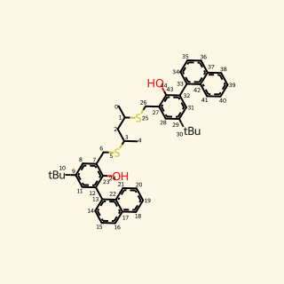 CC(CC(C)SCc1cc(C(C)(C)C)cc(-c2cccc3ccccc23)c1O)SCc1cc(C(C)(C)C)cc(-c2cccc3ccccc23)c1O